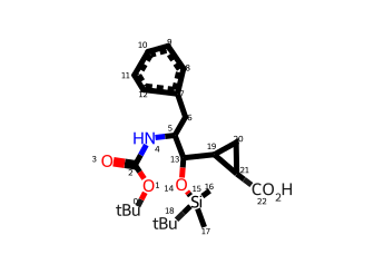 CC(C)(C)OC(=O)NC(Cc1ccccc1)C(O[Si](C)(C)C(C)(C)C)C1CC1C(=O)O